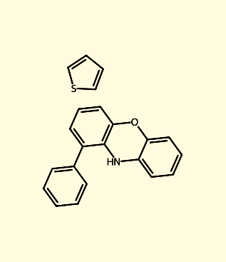 c1ccc(-c2cccc3c2Nc2ccccc2O3)cc1.c1ccsc1